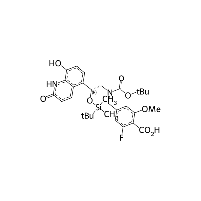 COc1cc(CN(C[C@H](O[Si](C)(C)C(C)(C)C)c2ccc(O)c3[nH]c(=O)ccc23)C(=O)OC(C)(C)C)cc(F)c1C(=O)O